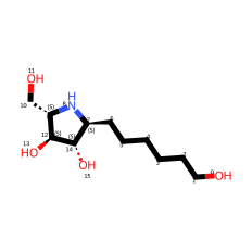 OCCCCCC[C@@H]1N[C@@H](CO)[C@H](O)[C@H]1O